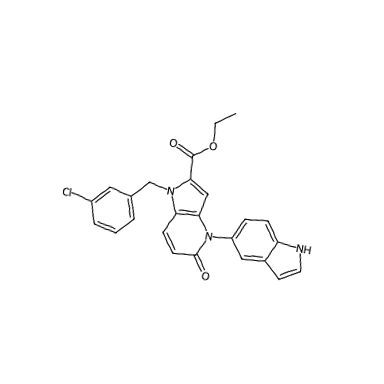 CCOC(=O)c1cc2c(ccc(=O)n2-c2ccc3[nH]ccc3c2)n1Cc1cccc(Cl)c1